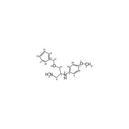 COc1ccc(NC(CN)COCc2ccccc2)cc1